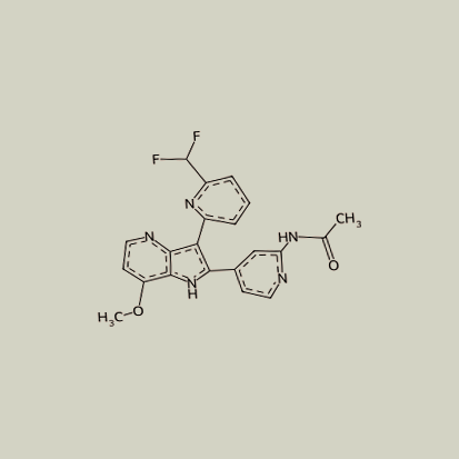 COc1ccnc2c(-c3cccc(C(F)F)n3)c(-c3ccnc(NC(C)=O)c3)[nH]c12